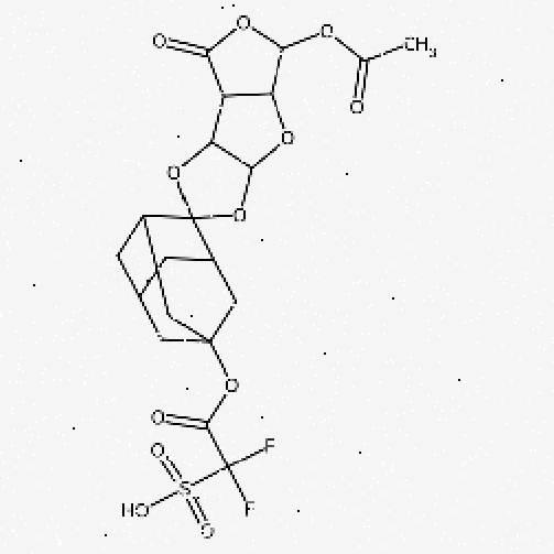 CC(=O)OC1OC(=O)C2C1OC1OC3(OC12)C1CC2CC3CC(OC(=O)C(F)(F)S(=O)(=O)O)(C2)C1